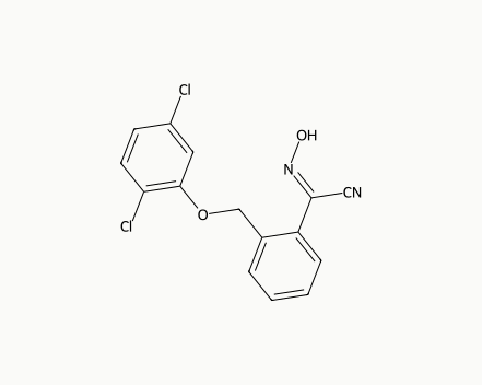 N#CC(=NO)c1ccccc1COc1cc(Cl)ccc1Cl